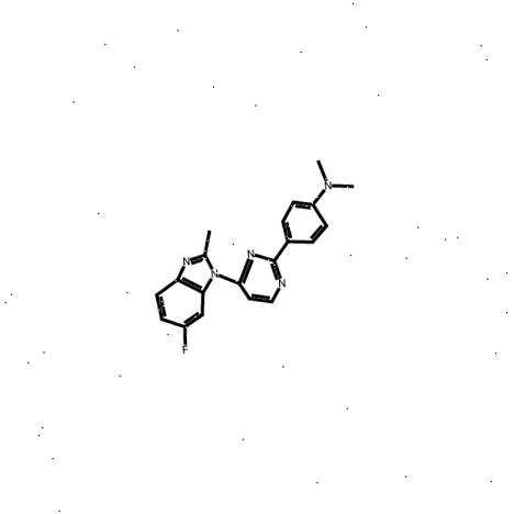 Cc1nc2ccc(F)cc2n1-c1ccnc(-c2ccc(N(C)C)cc2)n1